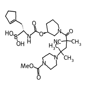 COC(=O)N1CCN(C(C)(C)CC(C)(C#N)C(=O)N2CCC[C@H](OC(=O)N[C@@H](CC3=CCCC3)B(O)O)C2)CC1